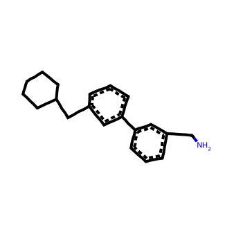 NCc1cccc(-c2cccc(CC3CCCCC3)c2)c1